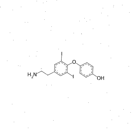 NCCc1cc(I)c(Oc2ccc(O)cc2)c(I)c1